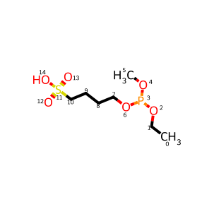 CCOP(OC)OCCCCS(=O)(=O)O